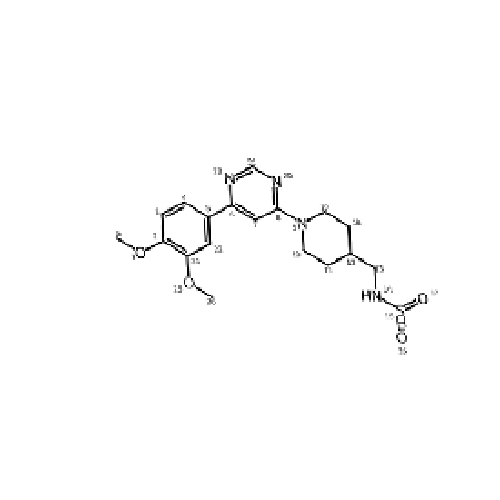 COc1ccc(-c2cc(N3CCC(CN[SH](=O)=O)CC3)ncn2)cc1OC